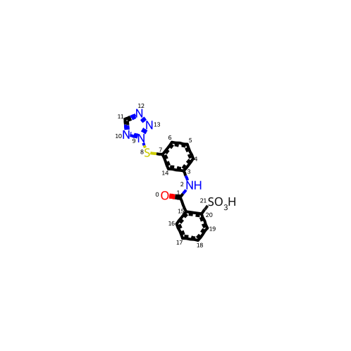 O=C(Nc1cccc(Sn2ncnn2)c1)c1ccccc1S(=O)(=O)O